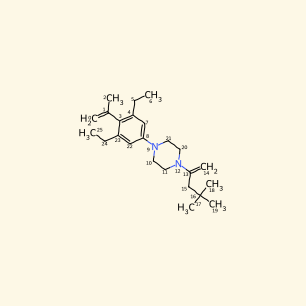 C=C(C)c1c(CC)cc(N2CCN(C(=C)CC(C)(C)C)CC2)cc1CC